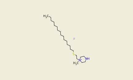 CCCCCCCCCCCCCCCCSCC[N+]1(C)CCNCC1.[I-]